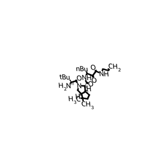 C=CCNC(=O)C(=O)C(CCCC)NC(=O)[C@@H]1[C@H]2CCC(C)(C)[C@H]2CN1C(=O)[C@@H](N)C(C)(C)C